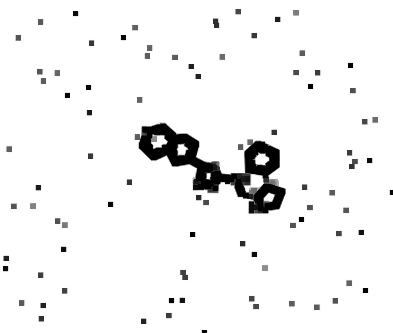 c1ccc([C@@H]2CCN[C@@H]2CNc2nnc(-c3ccc4cnccc4c3)s2)cc1